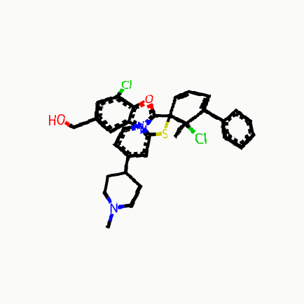 CN1CCC(c2ccnc(SC3(c4nc5cc(CO)cc(Cl)c5o4)C=CC=C(c4ccccc4)C3(C)Cl)c2)CC1